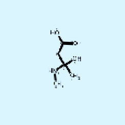 CNC(C)(O)CC(=O)O